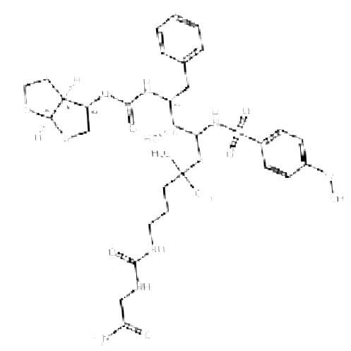 COc1ccc(S(=O)(=O)NC(CC(C)(C)CCCNC(=O)NCC(N)=O)[C@H](O)[C@H](Cc2ccccc2)NC(=O)O[C@H]2CO[C@H]3OCC[C@H]32)cc1